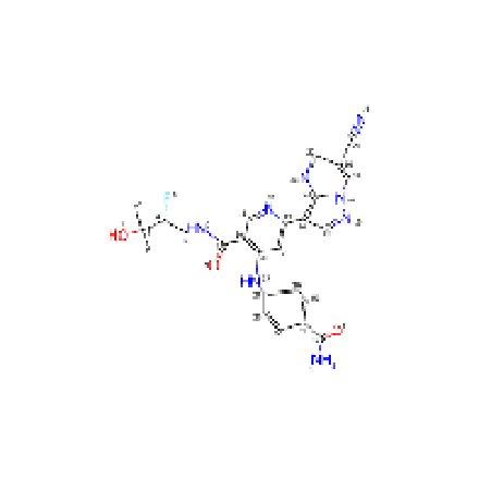 CC(C)(O)[C@H](F)CNC(=O)c1cnc(-c2cnn3cc(C#N)cnc23)cc1Nc1ccc(C(N)=O)cc1